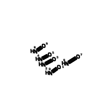 N=O.N=O.N=O.N=O.N=O